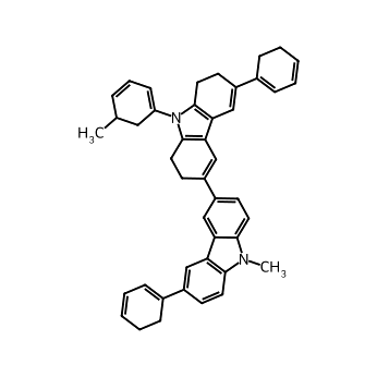 CC1C=CC=C(n2c3c(c4c2CCC(c2ccc5c(c2)c2cc(C6=CC=CCC6)ccc2n5C)=C4)C=C(C2=CC=CCC2)CC3)C1